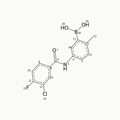 Cc1ccc(NC(=O)c2ccc(F)c(Cl)c2)cc1B(O)O